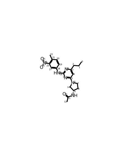 CCCc1cc(N2CC[C@H](NC(C)=O)C2)nc(Nc2ccc(C)c([N+](=O)[O-])c2)n1